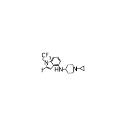 FC(F)(F)Cn1c(I)cc2c(NC3CCN(C4CC4)CC3)cccc21